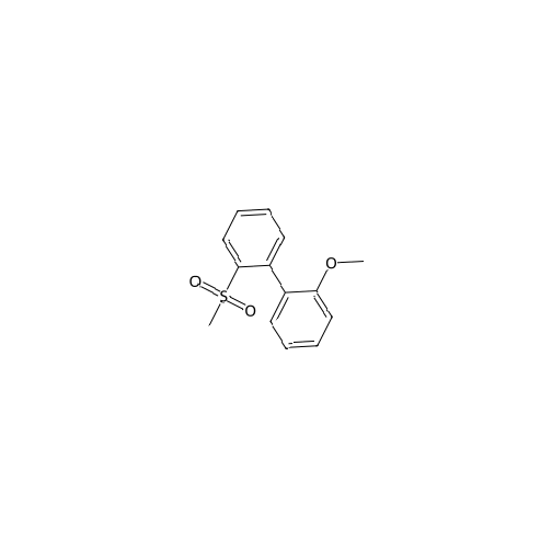 COc1ccccc1-c1ccccc1S(C)(=O)=O